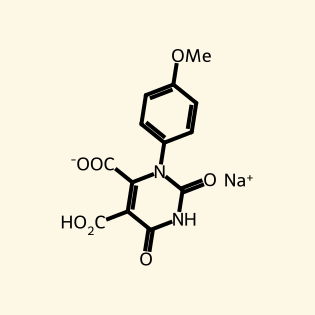 COc1ccc(-n2c(C(=O)[O-])c(C(=O)O)c(=O)[nH]c2=O)cc1.[Na+]